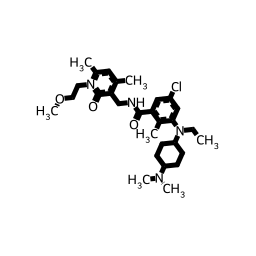 CCN(c1cc(Cl)cc(C(=O)NCc2c(C)cc(C)n(CCOC)c2=O)c1C)C1CCC(N(C)C)CC1